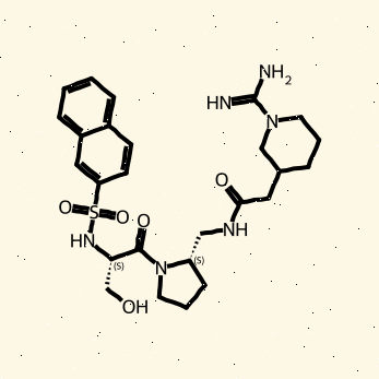 N=C(N)N1CCCC(CC(=O)NC[C@@H]2CCCN2C(=O)[C@H](CO)NS(=O)(=O)c2ccc3ccccc3c2)C1